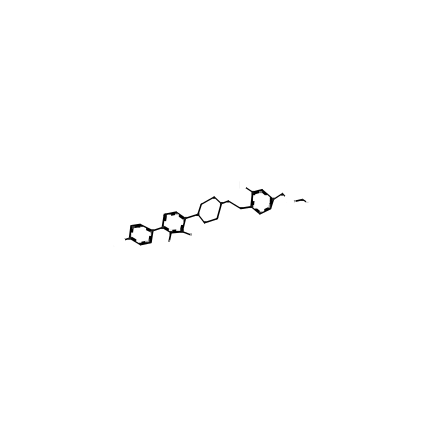 CCOCc1ccc(CCC2CCC(c3ccc(-c4ccc(C)cc4)c(F)c3F)CC2)c(F)c1